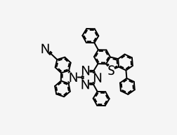 N#Cc1ccc2c(c1)c1ccccc1n2-c1nc(-c2ccccc2)nc(-c2cc(-c3ccccc3)cc3c2sc2c(-c4ccccc4)cccc23)n1